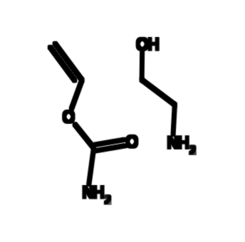 C=COC(N)=O.NCCO